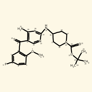 COc1ccc(F)cc1C(=S)c1cnc(NC2CCN(C(=O)OC(C)(C)C)CC2)nc1N